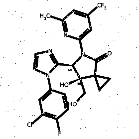 Cc1cc(C(F)(F)F)cc(N2C(=O)C3(CC3)[C@](O)(CO)[C@H]2c2nccn2-c2ccc(F)c(Cl)c2)n1